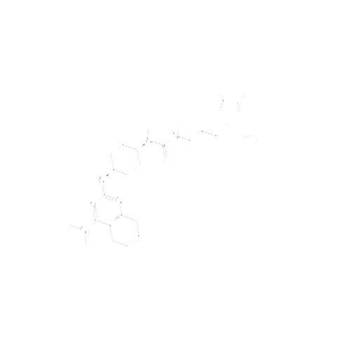 CCO[Si](CCCNC(=O)N[C@H]1CC[C@@H](Nc2nc3c(c(N(C)C)n2)CCCC3)CC1)(OCC)OCC